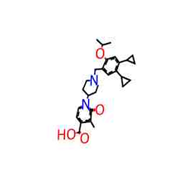 Cc1c(C(=O)O)ccn(C2CCN(Cc3cc(C4CC4)c(C4CC4)cc3OC(C)C)CC2)c1=O